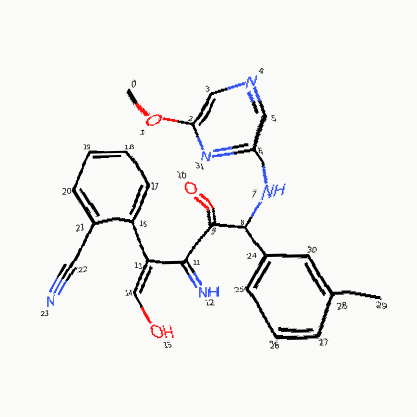 COc1cncc(NC(C(=O)C(=N)/C(=C\O)c2ccccc2C#N)c2cccc(C)c2)n1